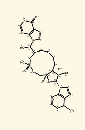 NC1NC=Nc2c1ncn2[C@@H]1O[C@@H]2COP(=O)(O)O[C@@H]([C@@H](O)n3cnc4c(=O)[nH]cnc43)COCC[C@H]2[C@H]1O